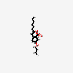 CCCCCCc1cc2ccc(OCCCC)cc2c(=O)o1